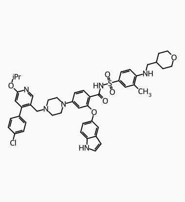 Cc1cc(S(=O)(=O)NC(=O)c2ccc(N3CCN(Cc4cnc(OC(C)C)cc4-c4ccc(Cl)cc4)CC3)cc2Oc2ccc3[nH]ccc3c2)ccc1NCC1CCOCC1